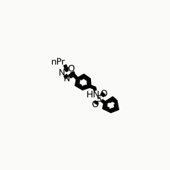 CCCc1nnc(-c2ccc(CNS(=O)(=O)c3ccccc3)cc2)o1